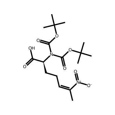 C/C(=C/CC[C@@H](C(=O)O)N(C(=O)OC(C)(C)C)C(=O)OC(C)(C)C)[N+](=O)[O-]